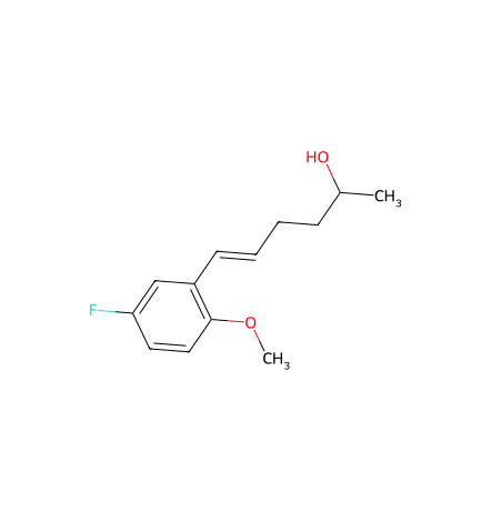 COc1ccc(F)cc1C=CCCC(C)O